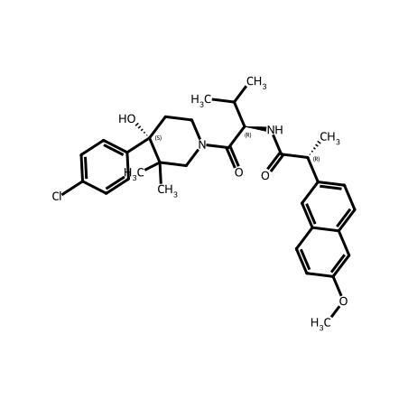 COc1ccc2cc([C@@H](C)C(=O)N[C@@H](C(=O)N3CC[C@](O)(c4ccc(Cl)cc4)C(C)(C)C3)C(C)C)ccc2c1